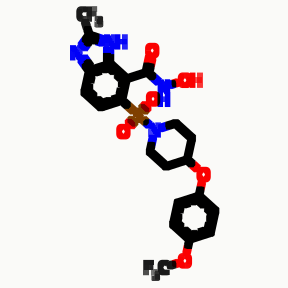 O=C(NO)c1c(S(=O)(=O)N2CCC(Oc3ccc(OC(F)(F)F)cc3)CC2)ccc2nc(C(F)(F)F)[nH]c12